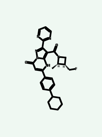 C[C@H]1[C@@H](CF)CN1C(=O)c1c(-c2ncccn2)nn2c(=O)cc(-c3ccc(C4CCCCC4)cc3)[nH]c12